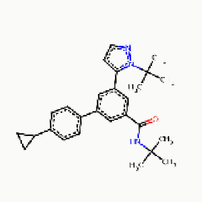 CC(C)(C)NC(=O)c1cc(-c2ccc(C3CC3)cc2)cc(-c2ccnn2C(C)(C)C)c1